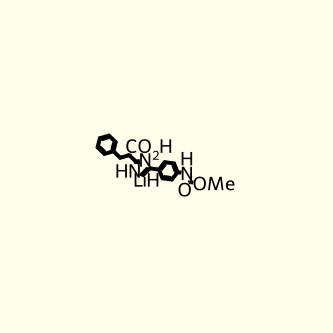 COC(=O)Nc1ccc(-c2c[nH]c(C(Cc3ccccc3)C(=O)O)n2)cc1.[LiH]